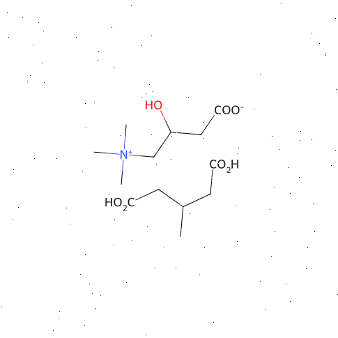 CC(CC(=O)O)CC(=O)O.C[N+](C)(C)CC(O)CC(=O)[O-]